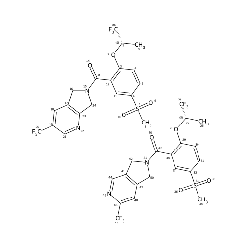 C[C@H](Oc1ccc(S(C)(=O)=O)cc1C(=O)N1Cc2cc(C(F)(F)F)cnc2C1)C(F)(F)F.C[C@H](Oc1ccc(S(C)(=O)=O)cc1C(=O)N1Cc2cnc(C(F)(F)F)cc2C1)C(F)(F)F